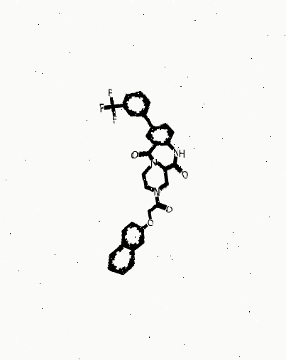 O=C1Nc2ccc(-c3cccc(C(F)(F)F)c3)cc2C(=O)N2CCN(C(=O)COc3ccc4ccccc4c3)CC12